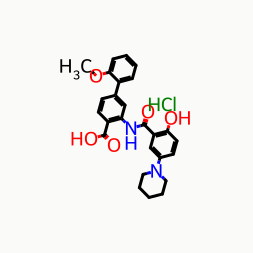 COc1ccccc1-c1ccc(C(=O)O)c(NC(=O)c2cc(N3CCCCC3)ccc2O)c1.Cl